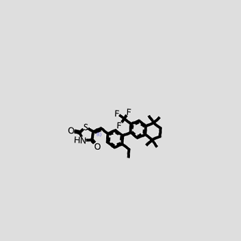 CCc1ccc(/C=C2/SC(=O)NC2=O)cc1-c1cc2c(cc1C(F)(F)F)C(C)(C)CCC2(C)C